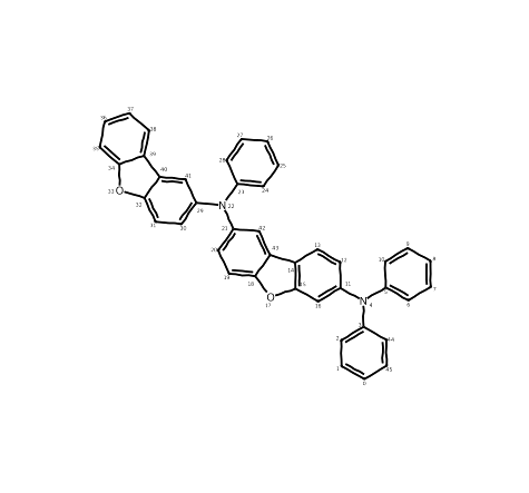 c1ccc(N(c2ccccc2)c2ccc3c(c2)oc2ccc(N(c4ccccc4)c4ccc5oc6ccccc6c5c4)cc23)cc1